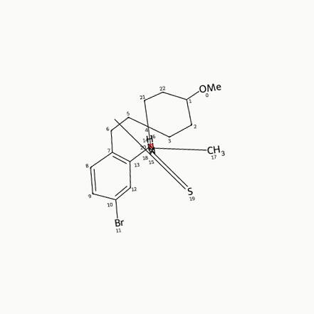 COC1CCC2(CCc3ccc(Br)cc3C23N=C(C)C(=S)N3)CC1